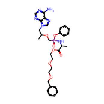 CC(Cn1cnc2c(N)ncnc21)OCP(=O)(NC(C)C(=O)OCCOCCOCc1ccccc1)Oc1ccccc1